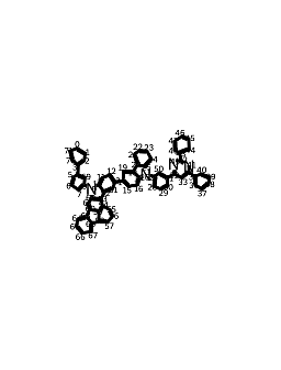 c1ccc(-c2cccc(-n3c4ccc(-c5ccc6c(c5)c5ccccc5n6-c5cccc(-c6cc(-c7ccccc7)nc(-c7ccccc7)n6)c5)cc4c4c5cccc6c5c(cc43)-c3ccccc3-6)c2)cc1